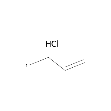 Cl.[CH]CC=C